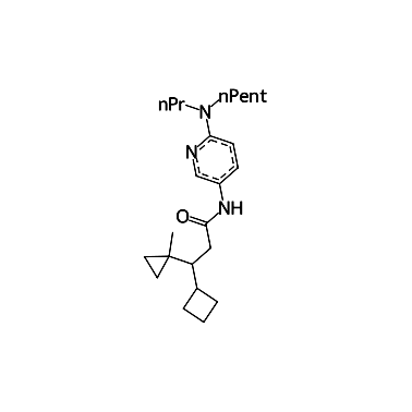 CCCCCN(CCC)c1ccc(NC(=O)CC(C2CCC2)C2(C)CC2)cn1